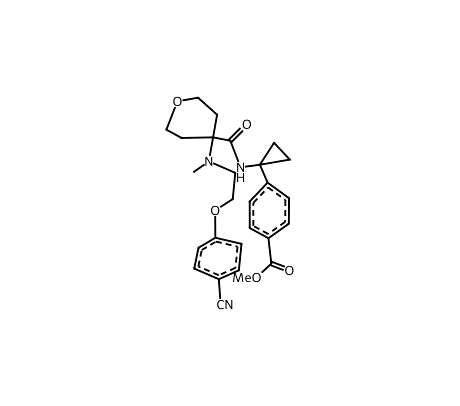 COC(=O)c1ccc(C2(NC(=O)C3(N(C)CCOc4ccc(C#N)cc4)CCOCC3)CC2)cc1